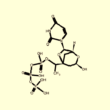 CC(OP(=O)(O)OP(=O)(O)OP(=O)(O)O)[C@]12C[C@H](O)O[C@H](C1)[C@H](n1ccc(=O)[nH]c1=O)O2